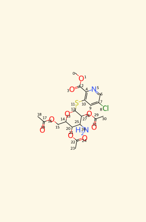 COC(=O)c1ncc(Cl)cc1SC1OC(COC(C)=O)C(OC(C)=O)C(N)C1OC(C)=O